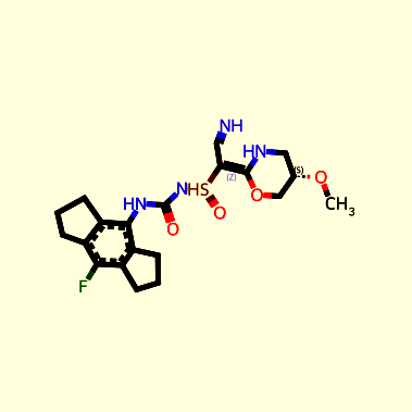 CO[C@H]1CN/C(=C(\C=N)[SH](=O)=NC(=O)Nc2c3c(c(F)c4c2CCC4)CCC3)OC1